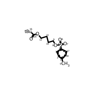 Cc1ccc(S(=O)(=O)OCCCCOC(=O)C(C)(C)C)cc1